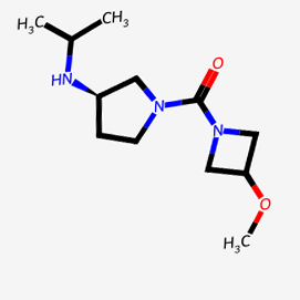 COC1CN(C(=O)N2CC[C@@H](NC(C)C)C2)C1